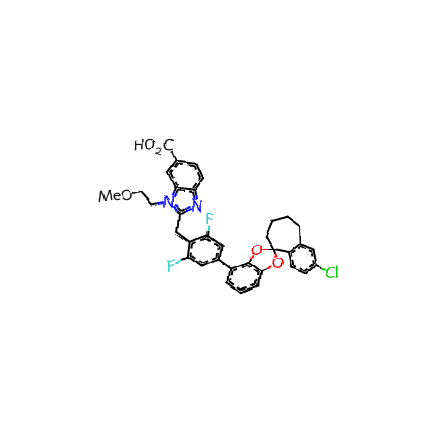 COCCn1c(Cc2c(F)cc(-c3cccc4c3OC3(CCCCc5cc(Cl)ccc53)O4)cc2F)nc2ccc(C(=O)O)cc21